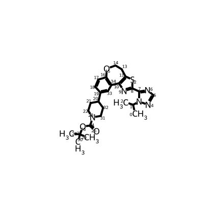 CC(C)n1ncnc1-c1nc2c(s1)CCOc1ccc(C3CCN(C(=O)OC(C)(C)C)CC3)cc1-2